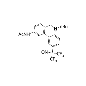 CCCCN1Cc2ccc(NC(C)=O)cc2-c2cc(C(N=O)(C(F)(F)F)C(F)(F)F)ccc21